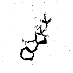 NC1=NC(N)(SC(F)(F)F)NC=C1Cc1ccccc1